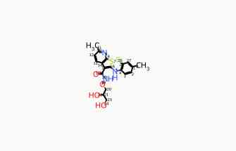 Cc1ccc(Nc2sc3nc(C)ccc3c2C(=O)NOCC(O)CO)c(F)c1